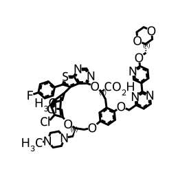 CC1=C2C#CC(Cl)C(=C1Cl)O[C@H](CN1CCN(C)CC1)COc1ccc(OCc3ccnc(-c4ccc(OC[C@H]5COCCO5)nc4)n3)c(c1)C[C@H](C(=O)O)Oc1ncnc3sc(-c4ccc(F)cc4)c2c13